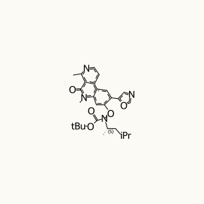 Cc1nccc2c1c(=O)n(C)c1cc(ON(C(=O)OC(C)(C)C)[C@@H](C)CC(C)C)c(-c3cnco3)cc21